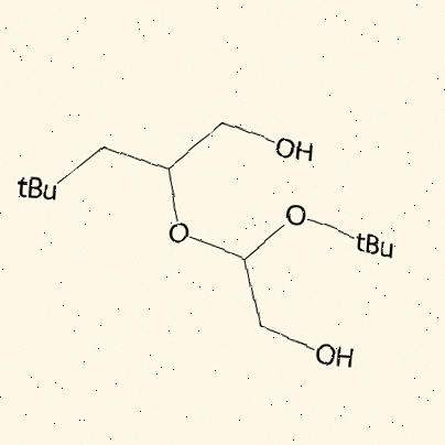 CC(C)(C)CC(CO)OC(CO)OC(C)(C)C